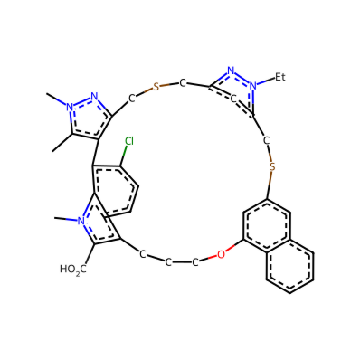 CCn1nc2cc1CSc1cc(c3ccccc3c1)OCCCc1c(C(=O)O)n(C)c3c(c(Cl)ccc13)-c1c(nn(C)c1C)CSC2